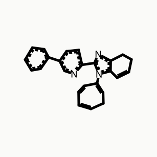 C1=CCC=C(n2c(-c3ccc(-c4ccccc4)cn3)nc3c2C=CCC3)C=C1